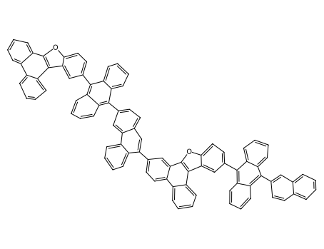 c1ccc2cc(-c3c4ccccc4c(-c4ccc5oc6c7cc(-c8cc9ccc(-c%10c%11ccccc%11c(-c%11ccc%12oc%13c%14ccccc%14c%14ccccc%14c%13c%12c%11)c%11ccccc%10%11)cc9c9ccccc89)ccc7c7ccccc7c6c5c4)c4ccccc34)ccc2c1